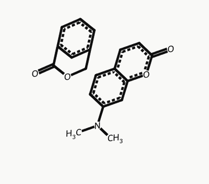 CN(C)c1ccc2ccc(=O)oc2c1.O=C1OCc2cccc1c2